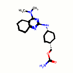 CN(C)c1nc(N[C@H]2CC[C@@H](COC(N)=O)CC2)nc2c1CCCC2